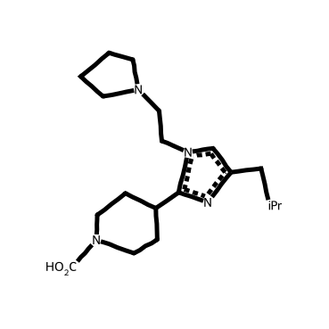 CC(C)Cc1cn(CCN2CCCC2)c(C2CCN(C(=O)O)CC2)n1